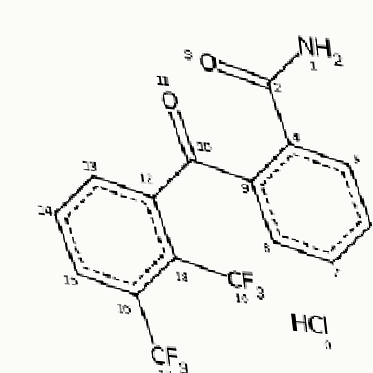 Cl.NC(=O)c1ccccc1C(=O)c1cccc(C(F)(F)F)c1C(F)(F)F